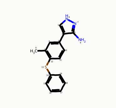 Cc1cc(-c2c[nH]nc2N)ccc1Sc1ccccc1